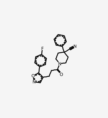 N#CC1(c2ccccc2)CCN(C(=O)CCc2cnoc2-c2ccc(F)cc2)CC1